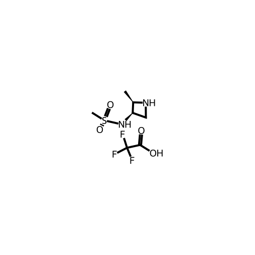 C[C@H]1NC[C@H]1NS(C)(=O)=O.O=C(O)C(F)(F)F